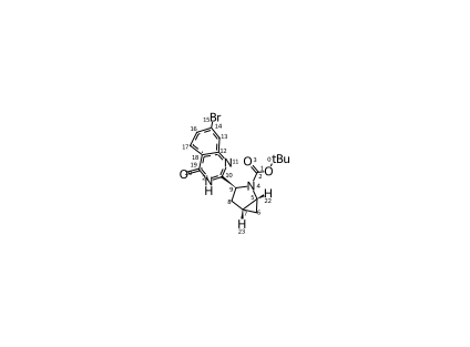 CC(C)(C)OC(=O)N1[C@@H]2C[C@@H]2C[C@H]1c1nc2cc(Br)ccc2c(=O)[nH]1